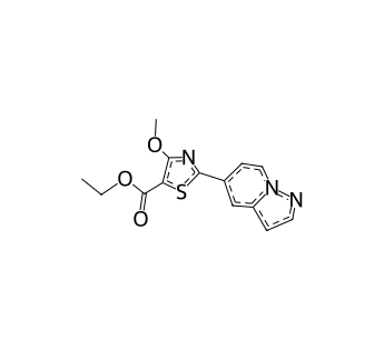 CCOC(=O)c1sc(-c2ccn3nccc3c2)nc1OC